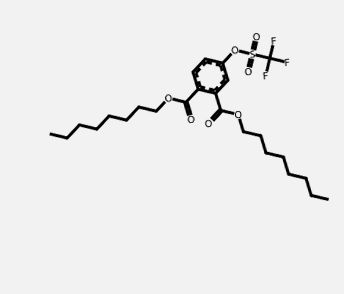 CCCCCCCCOC(=O)c1ccc(OS(=O)(=O)C(F)(F)F)cc1C(=O)OCCCCCCCC